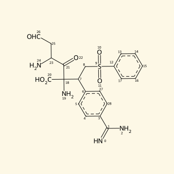 N=C(N)c1ccc(C(CS(=O)(=O)c2ccccc2)C(N)(C(=O)O)C(=O)C(N)CC=O)cc1